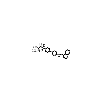 CC(C)C(NS(=O)(=O)c1ccc(-c2ccc(OCc3cccc4ccccc34)cc2)cc1)C(=O)O